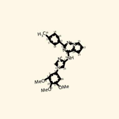 COc1cc(-n2cnc(Nc3nc(-c4ccc(C)cc4)nn4cccc34)c2)cc(OC)c1OC